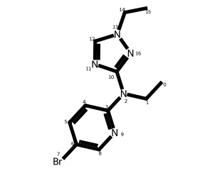 CCN(c1ccc(Br)cn1)c1ncn(CC)n1